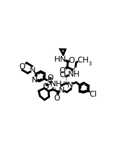 CCC[C@H](NC(=O)[C@H]1CN(C(=O)[C@@H](NS(=O)(=O)c2ccc(N3CCOCC3)nc2)C2CCCCC2)CCN1Cc1ccc(Cl)cc1)C(=O)C(=O)NC1CC1